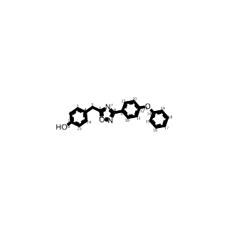 Oc1ccc(Cc2nc(-c3ccc(Oc4ccccc4)cc3)no2)cc1